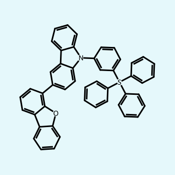 c1ccc(S(c2ccccc2)(c2ccccc2)c2cccc(-n3c4ccccc4c4cc(-c5cccc6c5oc5ccccc56)ccc43)c2)cc1